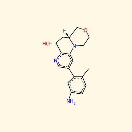 Cc1ccc(N)cc1-c1cnc2c(c1)N1CCOC[C@H]1C[C@H]2O